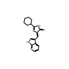 O=C1NC(C2CCCCC2)=N/C1=C\c1c[nH]c2ncccc12